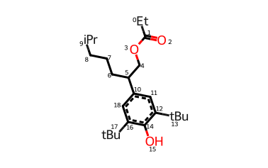 CCC(=O)OCC(CCCC(C)C)c1cc(C(C)(C)C)c(O)c(C(C)(C)C)c1